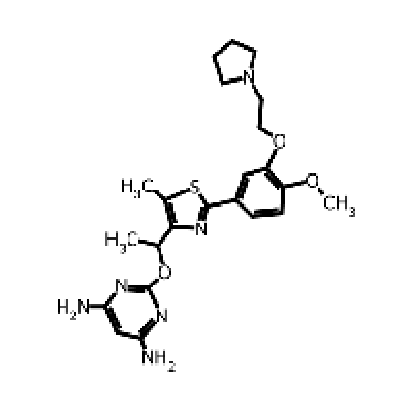 COc1ccc(-c2nc(C(C)Oc3nc(N)cc(N)n3)c(C)s2)cc1OCCN1CCCC1